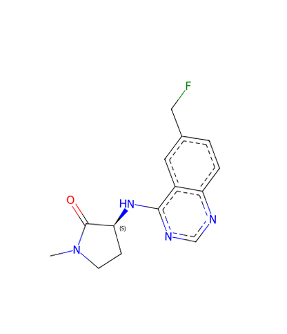 CN1CC[C@H](Nc2ncnc3ccc(CF)cc23)C1=O